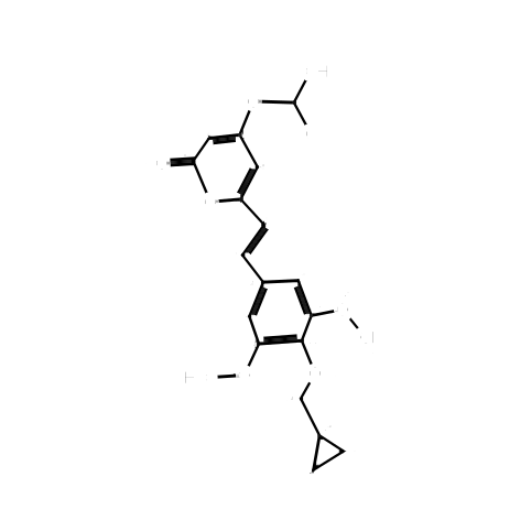 COc1cc(C=Cc2cc(OC(C)C)cc(=O)o2)cc(OC)c1OCC1CC1